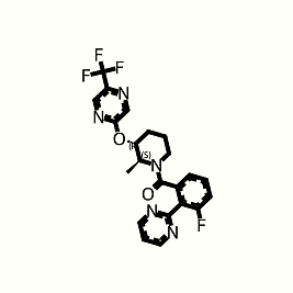 C[C@H]1[C@H](Oc2cnc(C(F)(F)F)cn2)CCCN1C(=O)c1cccc(F)c1-c1ncccn1